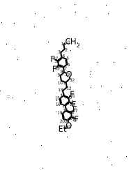 C=CCCc1ccc(C2CCC(CCc3ccc(-c4ccc(OCC)c(F)c4F)c(F)c3F)CO2)c(F)c1F